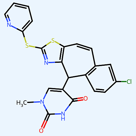 Cn1cc(C2c3ccc(Cl)cc3C=Cc3sc(Sc4ccccn4)nc32)c(=O)[nH]c1=O